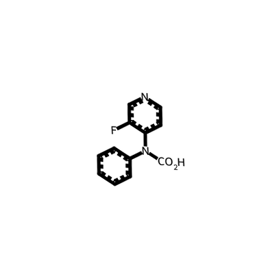 O=C(O)N(c1ccccc1)c1ccncc1F